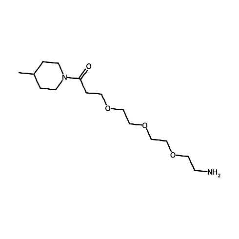 CC1CCN(C(=O)CCOCCOCCOCCN)CC1